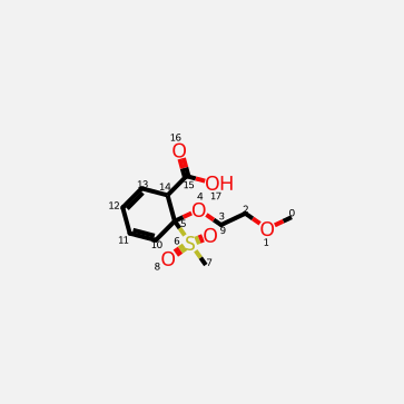 COCCOC1(S(C)(=O)=O)C=CC=CC1C(=O)O